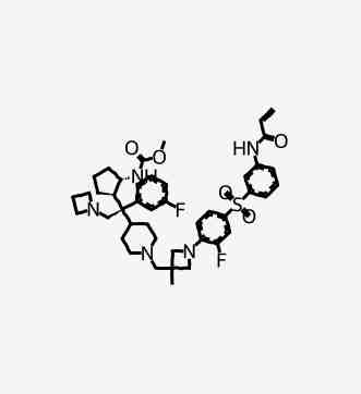 C=CC(=O)Nc1cccc(S(=O)(=O)c2ccc(N3CC(C)(CN4CCC([C@@](CN5CCC5)(c5cccc(F)c5)[C@H]5CCC[C@@H]5NC(=O)OC)CC4)C3)c(F)c2)c1